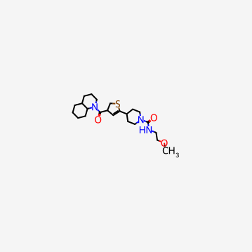 COCCNC(=O)N1CCC(C2=CC(C(=O)N3CCCC4CCCCC43)CS2)CC1